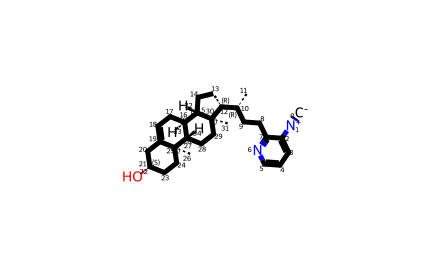 [C-]#[N+]c1cccnc1CC[C@@H](C)[C@H]1CC[C@H]2[C@@H]3CC=C4C[C@@H](O)CC[C@]4(C)[C@H]3CC[C@]12C